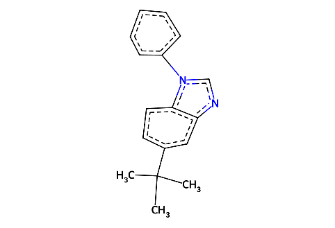 CC(C)(C)c1ccc2c(c1)ncn2-c1ccccc1